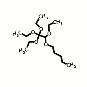 CCCCCOC(OCC)C(OCC)(OCC)OCC